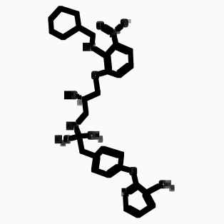 Cc1cccnc1Oc1ccc(CC(C)(C)NC[C@H](O)COc2cccc([N+](=O)[O-])c2NCC2CCCCC2)cc1